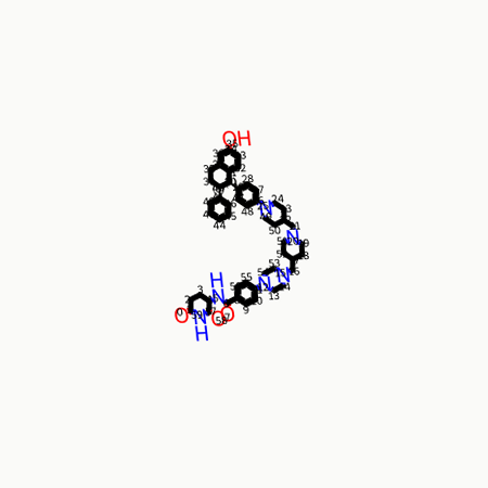 O=C1CCC(NC(=O)c2ccc(N3CCN(CC4CCN(CC5CCN(c6ccc([C@@H]7c8ccc(O)cc8CC[C@@H]7c7ccccc7)cc6)CC5)CC4)CC3)cc2)C(=O)N1